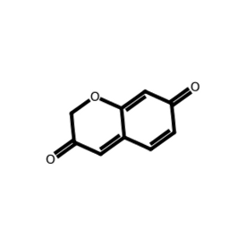 O=C1C=CC2=CC(=O)COC2=C1